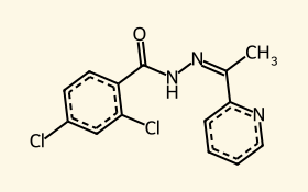 CC(=NNC(=O)c1ccc(Cl)cc1Cl)c1ccccn1